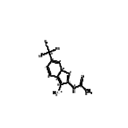 CC(=O)Nc1nn2cc(C(F)(F)F)ccc2c1C